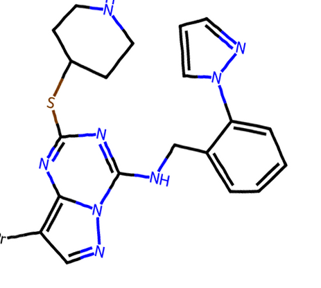 CC(C)c1cnn2c(NCc3ccccc3-n3cccn3)nc(SC3CCNCC3)nc12